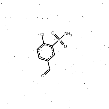 NS(=O)(=O)c1cc([C]=O)ccc1Cl